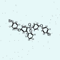 O=S(=O)(c1ccc(Oc2ccc(Br)cc2)cc1)c1ccc(Oc2ccc(Br)cc2)cc1-c1ccccc1